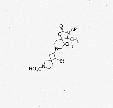 CCCN1C(=O)OC2(CCN(C3CC4(CCN(C(=O)O)C4)C3CC)CC2)C1(C)C